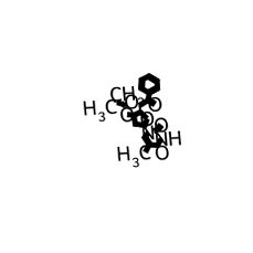 Cc1cn([C@H]2CC(OC(=O)C(C)C)[C@@H](CC(=O)c3ccccc3)O2)c(=O)[nH]c1=O